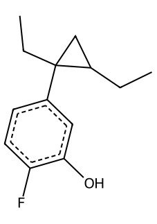 CCC1CC1(CC)c1ccc(F)c(O)c1